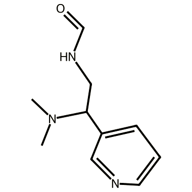 CN(C)C(CNC=O)c1cccnc1